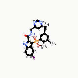 C#Cc1cc(C)cc(P(=O)(OC)c2c(C(=O)NCc3ccncn3)[nH]c3ccc(I)cc23)c1